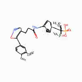 COc1ccc(-c2oncc2CCC(=O)Nc2ccc(C(C)(C)P(=O)(O)O)cc2)cc1OC